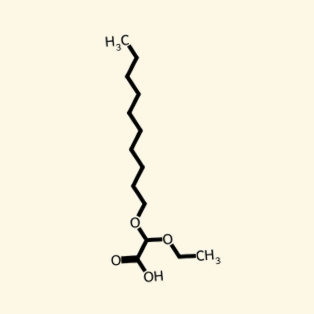 CCCCCCCCCCOC(OCC)C(=O)O